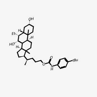 CC[C@H]1[C@@H](O)C2[C@@H]3CC[C@H]([C@H](C)CCCOC(=O)Nc4ccc(C(C)(C)C)cc4)C3(C)CC[C@@H]2C2(C)CC[C@@H](O)C[C@@H]12